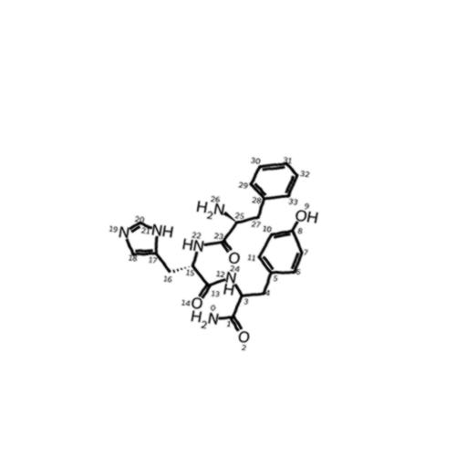 NC(=O)C(Cc1ccc(O)cc1)NC(=O)[C@H](Cc1cnc[nH]1)NC(=O)[C@@H](N)Cc1ccccc1